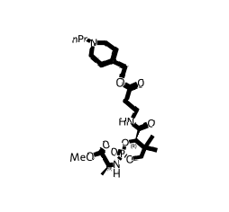 CCCN1CCC(COC(=O)CCNC(=O)[C@@H]2OP(=O)(N[C@@H](C)C(=O)OC)OCC2(C)C)CC1